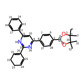 CC1(C)OB(c2ccc(-c3cc(-c4ccccc4)nc(C4=CCCC=C4)n3)cc2)OC1(C)C